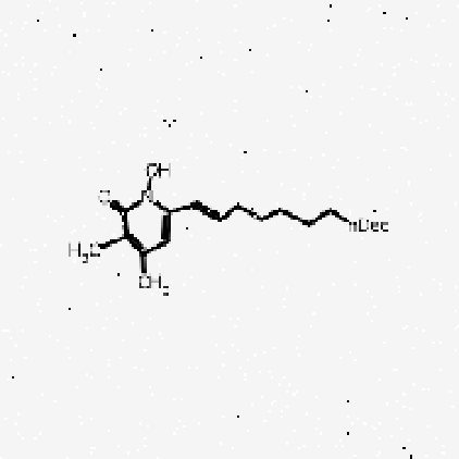 CCCCCCCCCCCCCCCC=Cc1cc(C)c(C)c(=O)n1O